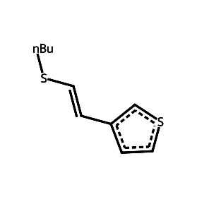 CCCCSC=Cc1ccsc1